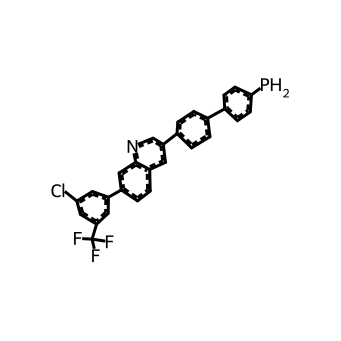 FC(F)(F)c1cc(Cl)cc(-c2ccc3cc(-c4ccc(-c5ccc(P)cc5)cc4)cnc3c2)c1